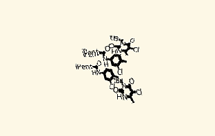 CCCC(C)C(=O)Nc1ccc(C)c(Cl)c1.CCCC(C)C(=O)Nc1ccc(C)c(Cl)c1.Cc1[nH]c(=O)n(C(C)(C)C)c(=O)c1Cl.Cc1[nH]c(=O)n(C(C)(C)C)c(=O)c1Cl